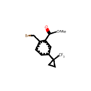 COC(=O)c1cc(C2(C(F)(F)F)CC2)ccc1CBr